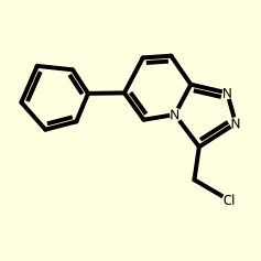 ClCc1nnc2ccc(-c3ccccc3)cn12